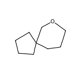 C1CCC2(C1)CCCOC2